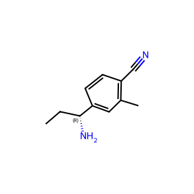 CC[C@@H](N)c1ccc(C#N)c(C)c1